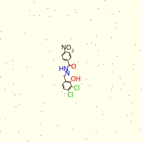 O=C(N/N=C/c1ccc(Cl)c(Cl)c1O)c1ccc([N+](=O)[O-])cc1